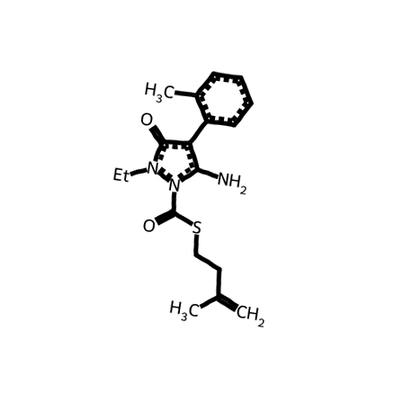 C=C(C)CCSC(=O)n1c(N)c(-c2ccccc2C)c(=O)n1CC